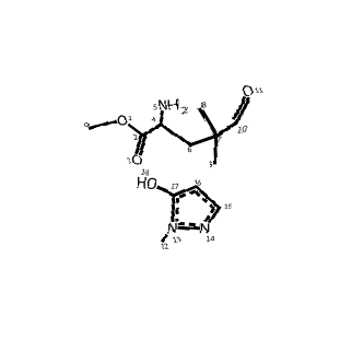 COC(=O)C(N)CC(C)(C)C=O.Cn1nccc1O